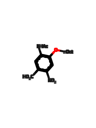 CCCCCCCCOc1cc([N+](=O)[O-])c(C(=O)O)cc1NC(C)=O